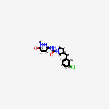 Cn1nc(NC(=O)N2CCC(Cc3cccc(Cl)c3)C2)ccc1=O